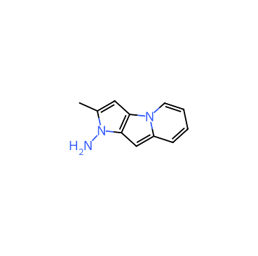 Cc1cc2c(cc3ccccn32)n1N